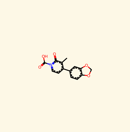 Cc1c(-c2ccc3c(c2)OCO3)ccn(C(=O)O)c1=O